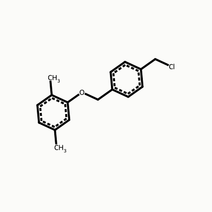 Cc1ccc(C)c(OCc2ccc(CCl)cc2)c1